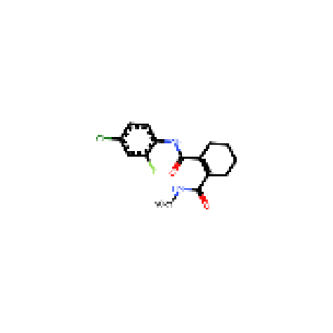 CCCCCCCCNC(=O)C1=C(C(=O)Nc2ccc(Cl)cc2F)CCCC1